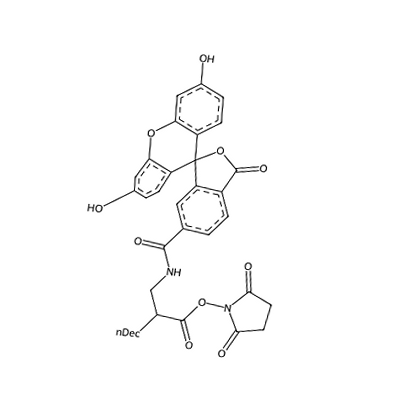 CCCCCCCCCCC(CNC(=O)c1ccc2c(c1)C1(OC2=O)c2ccc(O)cc2Oc2cc(O)ccc21)C(=O)ON1C(=O)CCC1=O